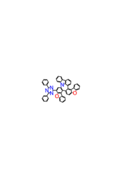 c1ccc(-c2nc(-c3ccccc3)nc(-c3cc4c(c5c3oc3ccccc35)-c3ccc5oc6ccccc6c5c3-c3cccc5c6ccccc6n-4c35)n2)cc1